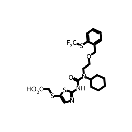 O=C(O)CSc1cnc(NC(=O)N(CCOCc2ccccc2SC(F)(F)F)C2CCCCC2)s1